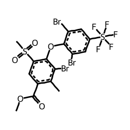 COC(=O)c1cc(S(C)(=O)=O)c(Oc2c(Br)cc(S(F)(F)(F)(F)F)cc2Br)c(Br)c1C